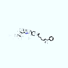 Nc1nc(N)c(C(=O)/C=C2\NCC3(CCN(C(=O)CCCc4cc(-c5ccccc5)no4)CC3)N2)nc1Cl